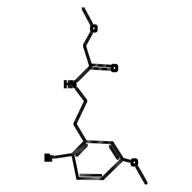 COCC(=O)NCCc1cc(OC)ccc1Br